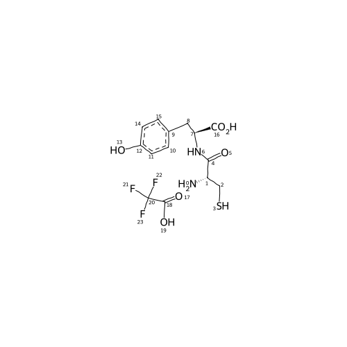 N[C@@H](CS)C(=O)N[C@@H](Cc1ccc(O)cc1)C(=O)O.O=C(O)C(F)(F)F